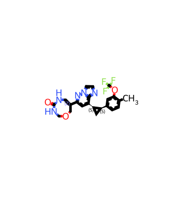 Cc1ccc([C@H]2C[C@@H]2c2cc(/C3=C/NC(=O)NCOC3)nn3ccnc23)cc1OC(F)(F)F